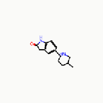 CC1CCC(c2ccc3c(c2)CC(=O)N3)NC1